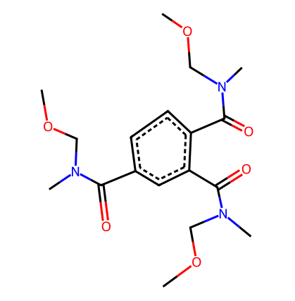 COCN(C)C(=O)c1ccc(C(=O)N(C)COC)c(C(=O)N(C)COC)c1